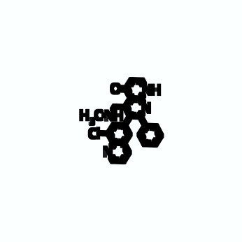 CNCc1c(-c2cc(Cl)c3ncccc3c2)c(-c2ccccc2)nc2[nH]ccc(=O)c12